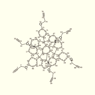 C#CCOc1ccc(C2(c3ccc(OCC#C)cc3)c3ccccc3-c3c2c2c(c4c3C(c3ccc(OCC#C)cc3)(c3ccc(OCC#C)cc3)c3ccccc3-4)C(c3ccc(OCC#C)cc3)(c3ccc(OCC#C)cc3)c3ccccc3-2)cc1